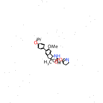 COc1cc2c(cc1-c1ccc(OC(C)C)cc1)CC(C)(C)C2NC(=O)O[C@H]1CN2CCC1CC2